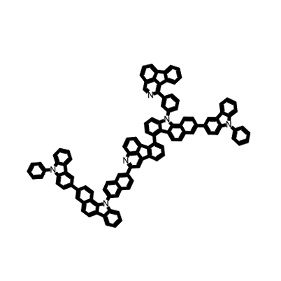 c1ccc(-n2c3ccccc3c3cc(-c4ccc5c(ccc6c7ccccc7n(-c7ccc8cc(-c9cc%10c%11c(cccc%11n9)-c9c-%10cccc9-c9cccc%10c9c9ccc%11cc(-c%12ccc%13c(c%12)c%12ccccc%12n%13-c%12ccccc%12)ccc%11c9n%10-c9cccc(-c%10ncc%11cccc%12c%11c%10-c%10ccccc%10-%12)c9)ccc8c7)c56)c4)ccc32)cc1